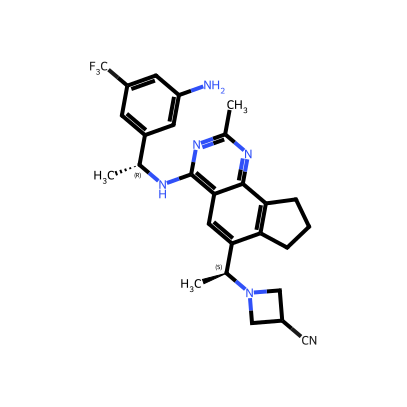 Cc1nc(N[C@H](C)c2cc(N)cc(C(F)(F)F)c2)c2cc([C@H](C)N3CC(C#N)C3)c3c(c2n1)CCC3